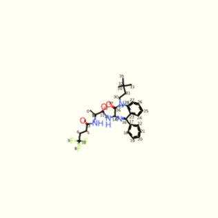 C[C@H](NC(=O)CCC(F)(F)F)C(=O)NC1N=C(c2ccccc2)c2ccccc2N(CCC(C)(C)C)C1=O